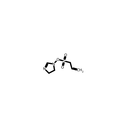 C=CCS(=O)(=O)ON1C=NCC1